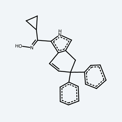 ON=C(c1[nH]cc2c1C=CC(c1ccccc1)(c1ccccc1)C2)C1CC1